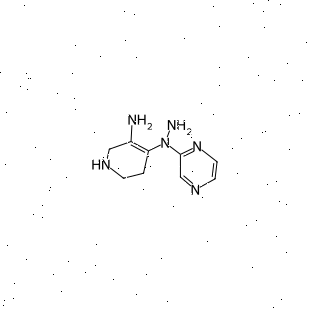 NC1=C(N(N)c2cnccn2)CCNC1